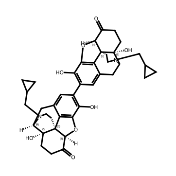 O=C1CC[C@@]2(O)C3Cc4cc(-c5cc6c7c(c5O)O[C@H]5C(=O)CC[C@@]8(O)[C@@H](C6)N(CC6CC6)CC[C@]758)c(O)c5c4[C@@]2(CCN3CC2CC2)[C@H]1O5